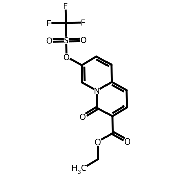 CCOC(=O)c1ccc2ccc(OS(=O)(=O)C(F)(F)F)cn2c1=O